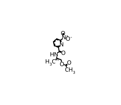 CC(=O)OC[C@@H](C)NC(=O)c1cccc([N+](=O)[O-])n1